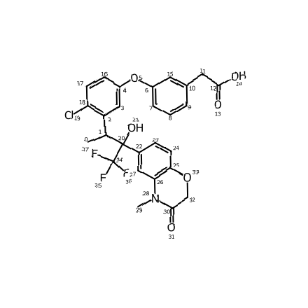 CC(c1cc(Oc2cccc(CC(=O)O)c2)ccc1Cl)C(O)(c1ccc2c(c1)N(C)C(=O)CO2)C(F)(F)F